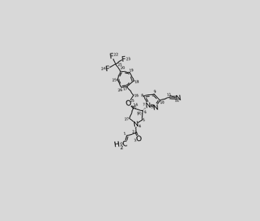 C=CC(=O)N1C[C@@H](n2ccc(C#N)n2)[C@H](OCc2ccc(C(F)(F)F)cc2)C1